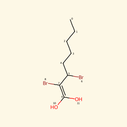 CCCCCC(Br)C(Br)=C(O)O